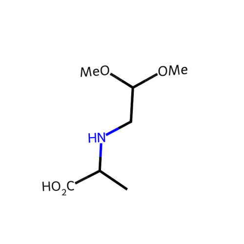 COC(CNC(C)C(=O)O)OC